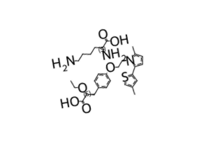 CCO[C@@H](Cc1ccc(OCCn2c(C)ccc2-c2cc(C)cs2)cc1)C(=O)O.NCCCC[C@H](N)C(=O)O